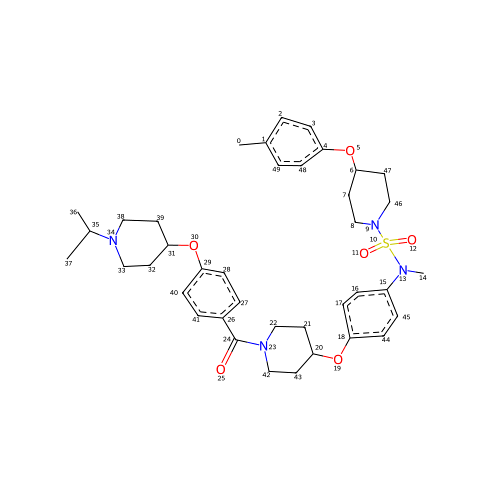 Cc1ccc(OC2CCN(S(=O)(=O)N(C)c3ccc(OC4CCN(C(=O)c5ccc(OC6CCN(C(C)C)CC6)cc5)CC4)cc3)CC2)cc1